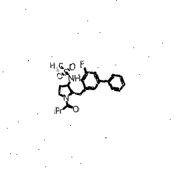 CC(C)C(=O)N1CCC(NS(C)(=O)=O)C1Cc1cc(F)cc(-c2ccccc2)c1